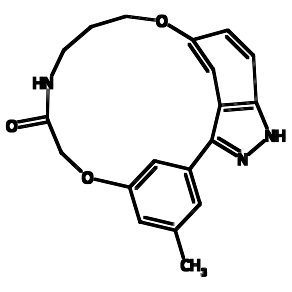 Cc1cc2cc(c1)-c1n[nH]c3ccc(cc13)OCCCNC(=O)CO2